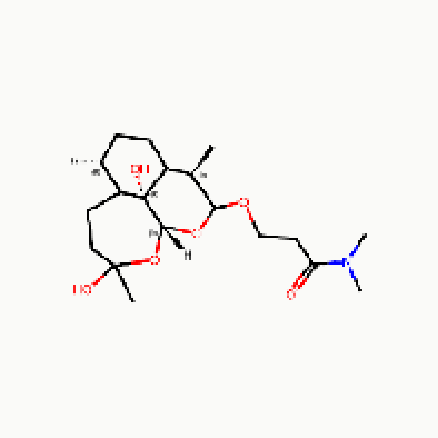 C[C@H]1C(OCCC(=O)N(C)C)O[C@@H]2OC(C)(O)CCC3[C@H](C)CCC1[C@]32O